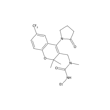 CCNC(=O)N(C)CC1=C(N2CCCC2=O)c2cc(C(F)(F)F)ccc2OC1(C)C